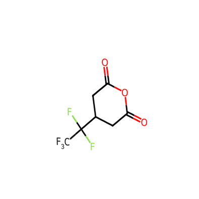 O=C1CC(C(F)(F)C(F)(F)F)CC(=O)O1